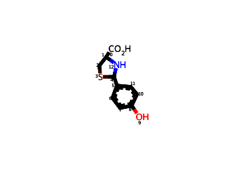 O=C(O)C1CSC(c2ccc(O)cc2)N1